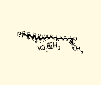 C=COC(=O)CCCCCCCCCCCCCCCCCCCCCC(C)C.CC(=O)O